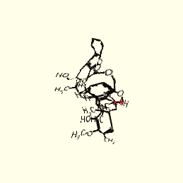 COC1=C(O)C2(C)C(C=C1C)CC1(O)CN(C)C2[C@@H]2[C@@H]3S[C@]4(N[C@H](CO)Cc5c4oc4ccccc54)C(=O)OCC(c4c5c(c(C)c(OC(C)=O)c43)OCO5)N21